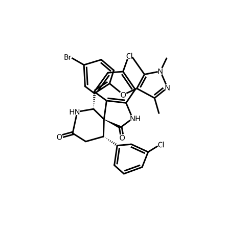 Cc1nn(C)c(C)c1Oc1ccc(Br)cc1[C@H]1NC(=O)C[C@@H](c2cccc(Cl)c2)[C@]12C(=O)Nc1cc(Cl)ccc12